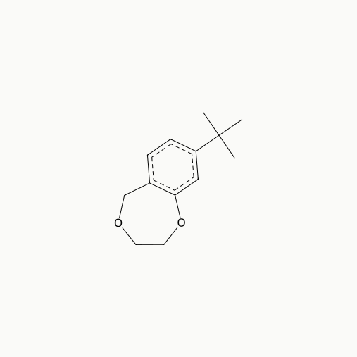 CC(C)(C)c1ccc2c(c1)OCCOC2